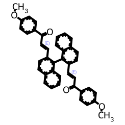 COc1ccc(C(=O)/C=C/c2ccc3ccccc3c2-c2c(/C=C/C(=O)c3ccc(OC)cc3)ccc3ccccc23)cc1